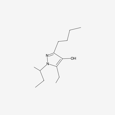 CCCCc1nn(C(C)CC)c(CC)c1O